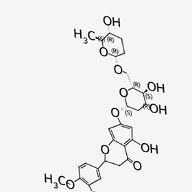 COc1ccc(C2CC(=O)c3c(O)cc(O[C@H]4C[C@@H](O)[C@H](O)[C@@H](CO[C@H]5CC[C@@H](O)[C@H](C)O5)O4)cc3O2)cc1O